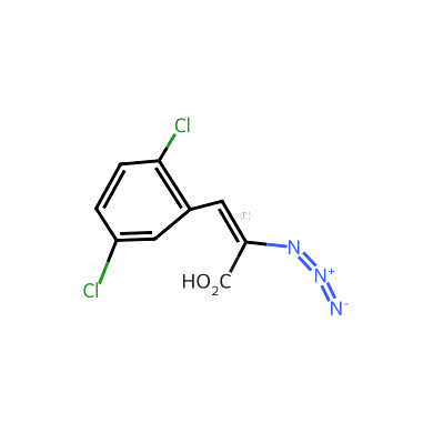 [N-]=[N+]=N/C(=C/c1cc(Cl)ccc1Cl)C(=O)O